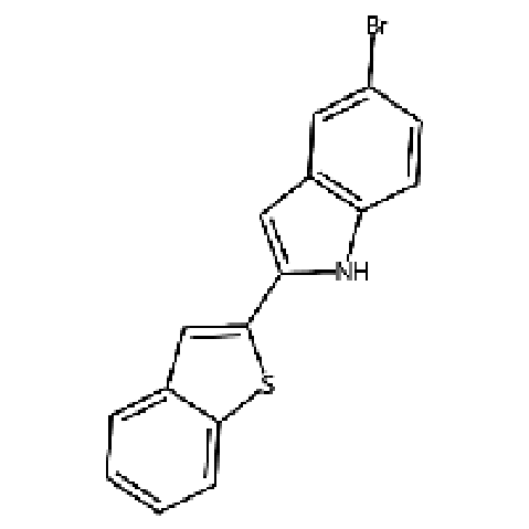 Brc1ccc2[nH]c(-c3cc4ccccc4s3)cc2c1